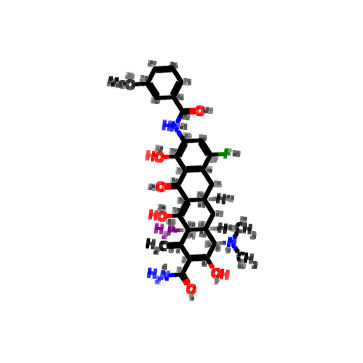 C=C1C(C(N)=O)=C(O)[C@@H](N(C)C)[C@@H]2C[C@@H]3Cc4c(F)cc(NC(=O)c5cccc(OC)c5)c(O)c4C(=O)C3=C(O)[C@]12P